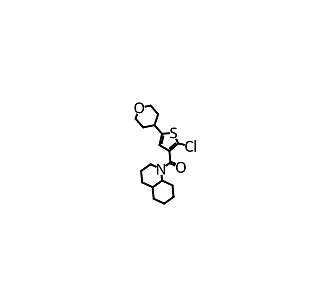 O=C(c1cc(C2CCOCC2)sc1Cl)N1CCCC2CCCCC21